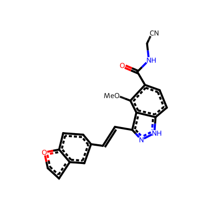 COc1c(C(=O)NCC#N)ccc2[nH]nc(C=Cc3ccc4occc4c3)c12